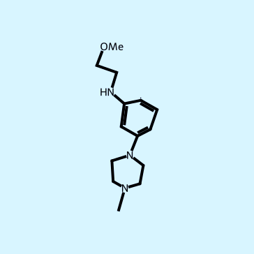 COCCNc1[c]ccc(N2CCN(C)CC2)c1